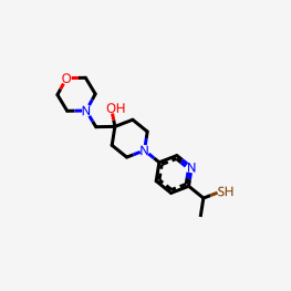 CC(S)c1ccc(N2CCC(O)(CN3CCOCC3)CC2)cn1